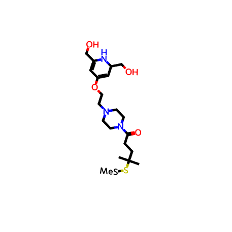 CSSC(C)(C)CCC(=O)N1CCN(CCOC2=CC(CO)NC(CO)=C2)CC1